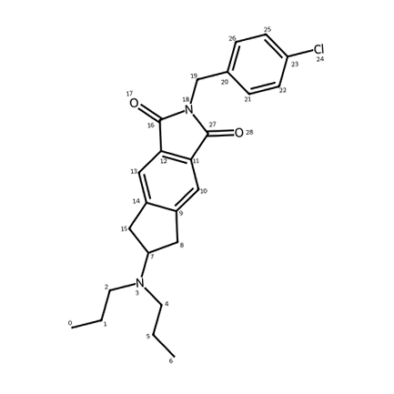 CCCN(CCC)C1Cc2cc3c(cc2C1)C(=O)N(Cc1ccc(Cl)cc1)C3=O